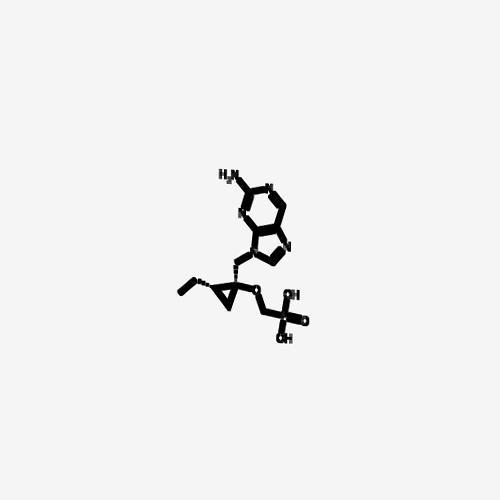 CC[C@H]1C[C@]1(Cn1cnc2cnc(N)nc21)OCP(=O)(O)O